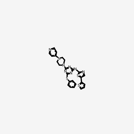 c1ccc(Sc2nc(Nc3ncc(-c4cccs4)s3)nc(N3CCN(c4ccncc4)CC3)n2)cc1